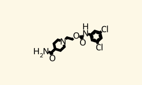 NC(=O)C1CCN(CCOC(=O)Nc2cc(Cl)cc(Cl)c2)CC1